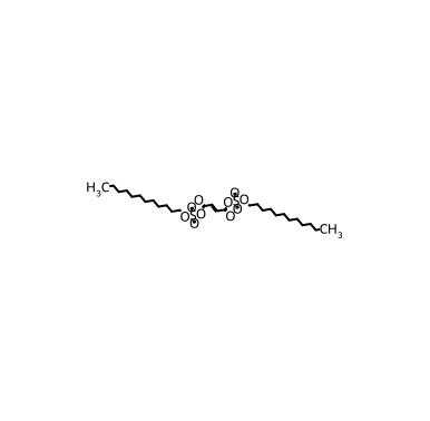 CCCCCCCCCCCCOS(=O)(=O)OC(=O)/C=C/C(=O)OS(=O)(=O)OCCCCCCCCCCCC